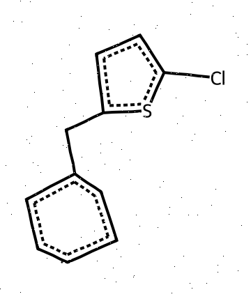 Clc1ccc(Cc2cc[c]cc2)s1